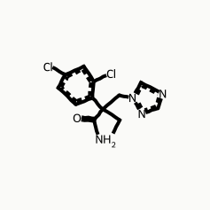 CCC(Cn1cncn1)(C(N)=O)c1ccc(Cl)cc1Cl